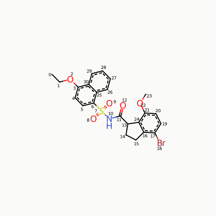 CCOc1ccc(S(=O)(=O)NC(=O)C2CCc3c(Br)ccc(OC)c32)c2ccccc12